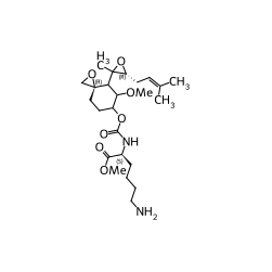 COC(=O)[C@H](CCCCN)NC(=O)OC1CC[C@]2(CO2)C(C2(C)O[C@@H]2CC=C(C)C)C1OC